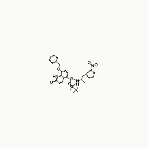 CC(Cc1cccc([N+](=O)[O-])c1)NC[C@H](O[Si](C)(C)C(C)(C)C)c1ccc(OCc2ccccc2)c2[nH]c(=O)ccc12